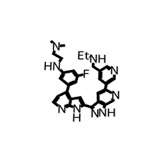 CCNCc1cncc(-c2cc3c(-c4cc5c(-c6cc(F)cc(NCCN(C)C)c6)ccnc5[nH]4)n[nH]c3cn2)c1